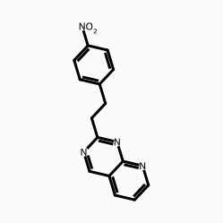 O=[N+]([O-])c1ccc(CCc2ncc3cccnc3n2)cc1